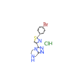 Brc1ccc(-c2nc(-c3nnc4n3CCNC4)cs2)cc1.Cl